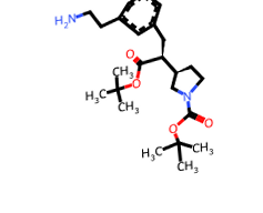 CC(C)(C)OC(=O)[C@@H](Cc1cccc(CCN)c1)[C@H]1CCN(C(=O)OC(C)(C)C)C1